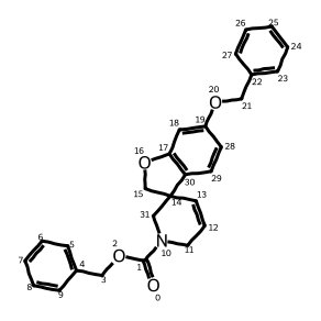 O=C(OCc1ccccc1)N1CC=CC2(COc3cc(OCc4ccccc4)ccc32)C1